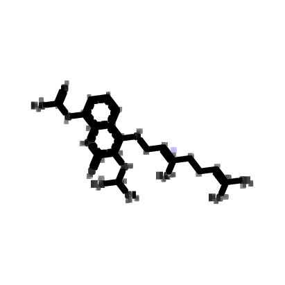 CC(=O)Oc1cccc2c(OC/C=C(\C)CCC=C(C)C)c(OC(C)C)c(=O)oc12